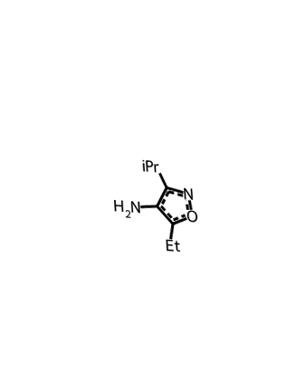 CCc1onc(C(C)C)c1N